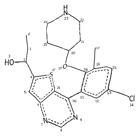 CCC(O)c1cc2ncnc(-c3cc(Cl)cc(C)c3OC3CCNCC3)c2s1